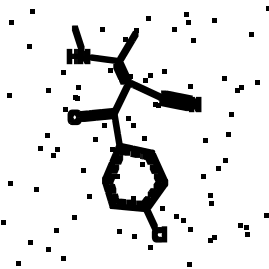 CNC(C)=C(C#N)C(=O)c1ccc(Cl)cc1